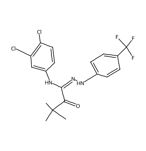 CC(C)(C)C(=O)/C(=N\Nc1ccc(C(F)(F)F)cc1)Nc1ccc(Cl)c(Cl)c1